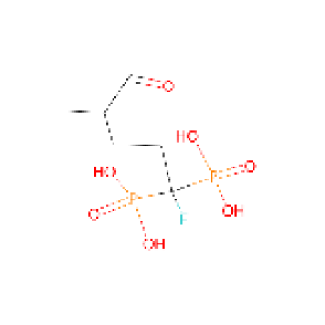 CC(C=O)CCC(F)(P(=O)(O)O)P(=O)(O)O